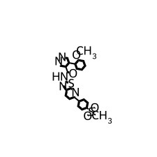 COc1ccccc1-c1cnncc1C(=O)Nc1nc2ccc(-c3ccc(S(C)(=O)=O)cc3)nc2s1